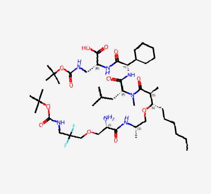 CCCCCC[C@H](OC[C@H](C)NC(=O)[C@@H](N)COCC(F)(F)CNC(=O)OC(C)(C)C)[C@H](C)C(=O)N(C)[C@H](CC(C)C)C(=O)N[C@H](C(=O)N[C@H](CNC(=O)OC(C)(C)C)C(=O)O)C1CCCCC1